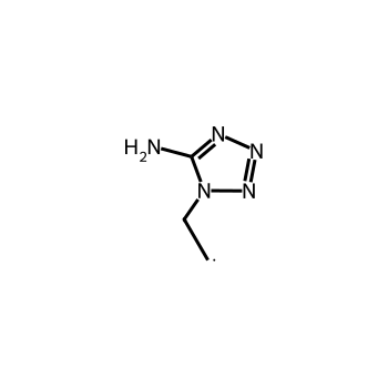 [CH2]Cn1nnnc1N